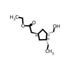 CCOC(=O)C[C@@H]1C[C@@H](CC)[C@@H](CO)C1